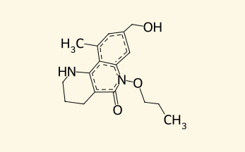 CCCOn1c(=O)c2c(c3c(C)cc(CO)cc31)NCCC2